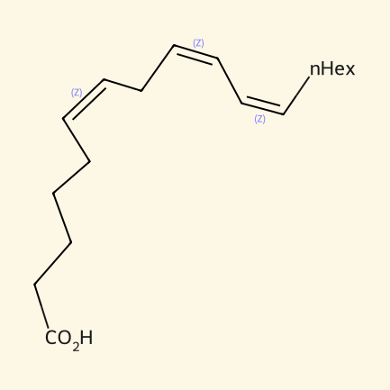 CCCCCC/C=C\C=C/C/C=C\CCCCC(=O)O